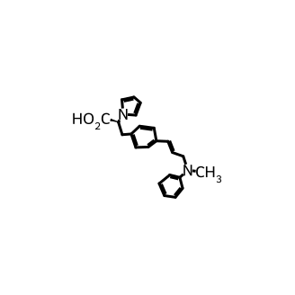 CN(C/C=C/c1ccc(C[C@@H](C(=O)O)n2cccc2)cc1)c1ccccc1